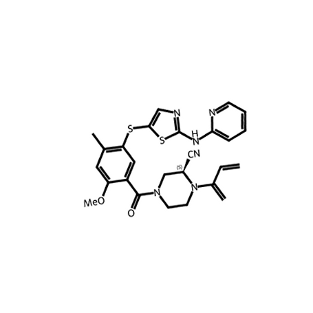 C=CC(=C)N1CCN(C(=O)c2cc(Sc3cnc(Nc4ccccn4)s3)c(C)cc2OC)C[C@H]1C#N